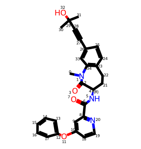 CN1C(=O)[C@H](NC(=O)c2cc(Oc3ccccc3)ccn2)CCc2ccc(C#CC(C)(C)O)cc21